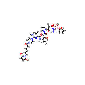 CC[C@H](C)[C@@H]([C@@H](CC(=O)N1CCC[C@H]1[C@H](OC)[C@@H](C)C(=O)N[C@@H](Cc1ccccc1)P(=O)(O)O)OC)N(C)C(=O)[C@@H](N=C(N(C)C)N1CCN(C(=O)CCCCCN2C(=O)C=CC2=O)CC1)C(C)C